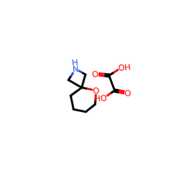 C1CCC2(CNC2)OC1.O=C(O)C(=O)O